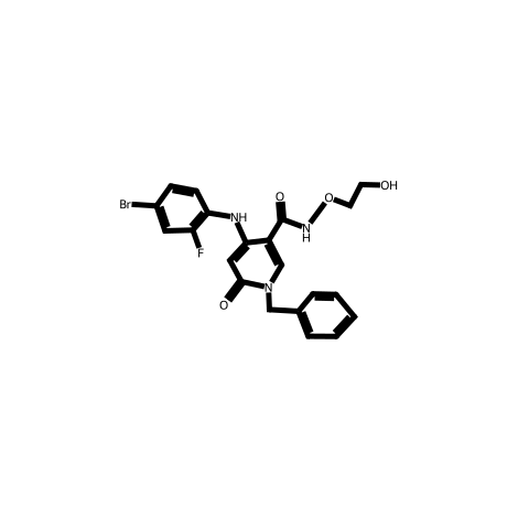 O=C(NOCCO)c1cn(Cc2ccccc2)c(=O)cc1Nc1ccc(Br)cc1F